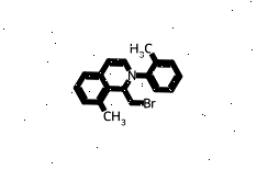 Cc1ccccc1N1C=Cc2cccc(C)c2C1CBr